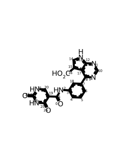 O=C(Nc1cccc(-c2ncnc3[nH]cc(C(=O)O)c23)c1)c1c[nH]c(=O)[nH]c1=O